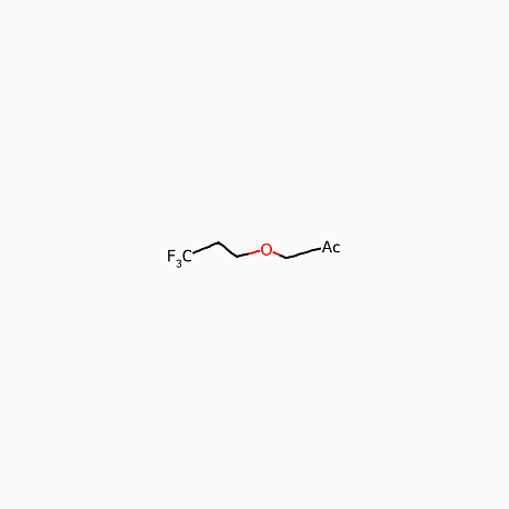 CC(=O)COCCC(F)(F)F